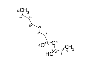 C=CC(O)OC(=O)CCCCCCC